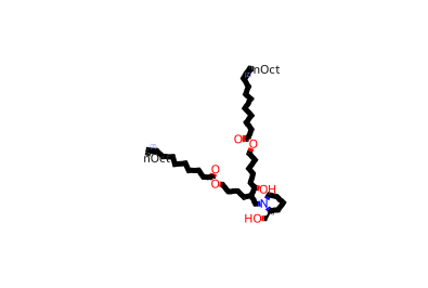 CCCCCCCC/C=C\CCCCCCCC(=O)OCCCCCC(O)C(CCCCOC(=O)CCCCCCC/C=C\CCCCCCCC)CN1CCCC[C@H]1CO